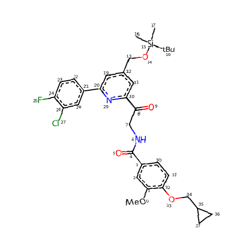 COc1cc(C(=O)NCC(=O)c2cc(CO[Si](C)(C)C(C)(C)C)cc(-c3ccc(F)c(Cl)c3)n2)ccc1OCC1CC1